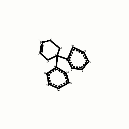 C1=NCCC(c2ccccc2)(c2ccccc2)C1